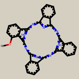 [Al][O]c1cccc2c3nc4nc(nc5[nH]c(nc6nc(nc([nH]3)c12)-c1ccccc1-6)c1ccccc51)-c1ccccc1-4